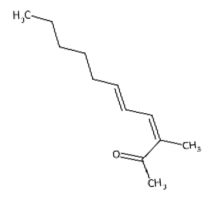 CCCCCC=CC=C(C)C(C)=O